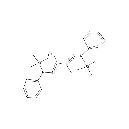 CCCC(=N\N(c1ccccc1)[Si](C)(C)C)/C(C)=N/N(c1ccccc1)[Si](C)(C)C